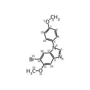 COc1ccc(-n2cnc3cc(OC)c(Br)cc32)cc1